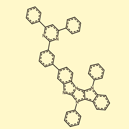 c1ccc(-c2cc(-c3ccccc3)nc(-c3cccc(-c4ccc5c(c4)nc4n(-c6ccccc6)c6c7ccccc7n(-c7ccccc7)c6n54)c3)n2)cc1